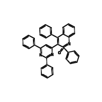 O=S1(c2ccccc2)=Nc2ccccc2C(c2ccccc2)=C1c1cc(-c2ccccc2)nc(-c2ccccc2)n1